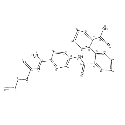 C=CCOC(=O)N=C(N)c1ccc(NC(=O)c2ccccc2-c2ccccc2C(=O)O)cc1